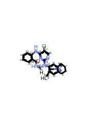 C#CCN1CC2CCC(C1)c1cc(Nc3ncc(Cl)c(Nc4ccccc4C(=O)NC)n3)ccc12